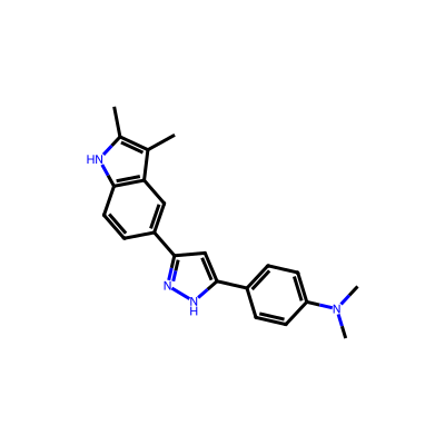 Cc1[nH]c2ccc(-c3cc(-c4ccc(N(C)C)cc4)[nH]n3)cc2c1C